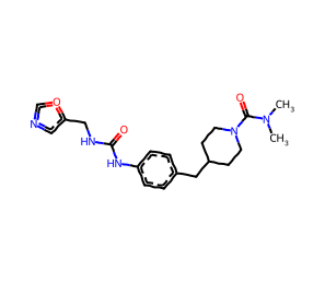 CN(C)C(=O)N1CCC(Cc2ccc(NC(=O)NCc3cnco3)cc2)CC1